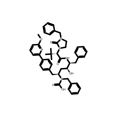 COc1cccc(-c2ccc(C[C@@H](C[C@H](O)[C@H](Cc3ccccc3)NC(=O)[C@@H](N3CCN(Cc4ccccc4)C3=O)C(C)(C)C)N(Cc3ccccc3)C(=O)O)cc2)n1